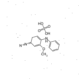 COC1=CC(=[N+]=[N-])CC=C1Nc1ccccc1.O=S(=O)(O)O